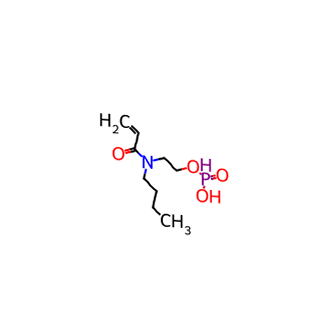 C=CC(=O)N(CCCC)CCO[PH](=O)O